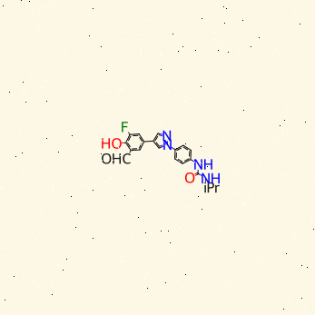 CC(C)NC(=O)Nc1ccc(-n2cc(-c3cc(F)c(O)c(C=O)c3)cn2)cc1